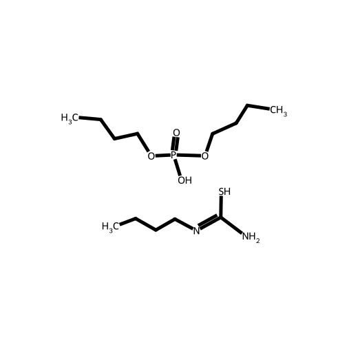 CCCCN=C(N)S.CCCCOP(=O)(O)OCCCC